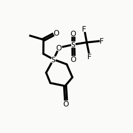 CC(=O)CS1(OS(=O)(=O)C(F)(F)F)CCC(=O)CC1